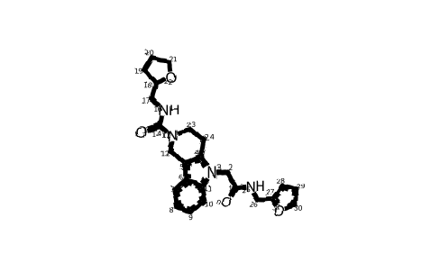 O=C(Cn1c2c(c3ccccc31)CN(C(=O)NCC1CCCO1)CC2)NCc1ccco1